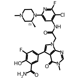 C[C@H]1CN(C)CCN1c1cc(NC(=O)Cn2cc(-c3cc(F)c(O)c(C(N)=O)c3)c3c(=O)n(C)cnc32)c(Cl)c(F)n1